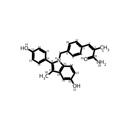 CC(=Cc1ccc(Cn2c(-c3ccc(O)cc3)c(C)c3cc(O)ccc32)cc1)C(N)=O